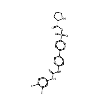 O=C(Nc1ccc(-c2ccc(S(=O)(=O)OC(=O)[C@@H]3CCCN3)cc2)cc1)Nc1ccc(Cl)c(Cl)c1